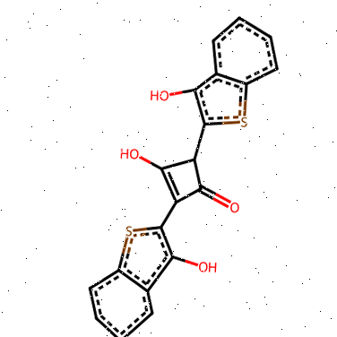 O=C1C(c2sc3ccccc3c2O)=C(O)C1c1sc2ccccc2c1O